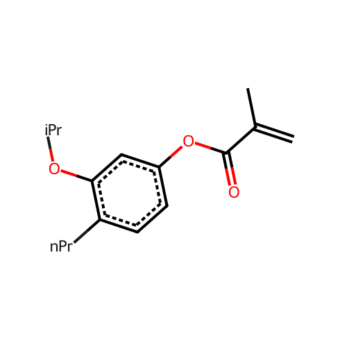 C=C(C)C(=O)Oc1ccc(CCC)c(OC(C)C)c1